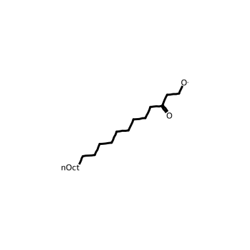 CCCCCCCCCCCCCCCCCC(=O)CC[O]